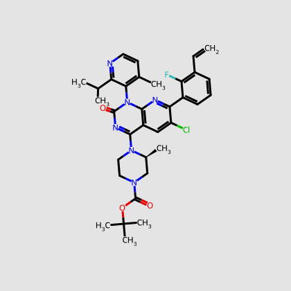 C=Cc1cccc(-c2nc3c(cc2Cl)c(N2CCN(C(=O)OC(C)(C)C)C[C@@H]2C)nc(=O)n3-c2c(C)ccnc2C(C)C)c1F